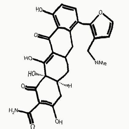 CNCc1ccoc1-c1ccc(O)c2c1CC1C[C@H]3CC(O)=C(C(N)=O)C(=O)[C@@]3(O)C(O)=C1C2=O